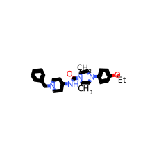 CCOc1ccc(N2C[C@@H](C)N(C(=O)NC3CCN(Cc4ccccc4)CC3)[C@@H](C)C2)cc1